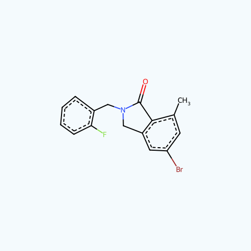 Cc1cc(Br)cc2c1C(=O)N(Cc1ccccc1F)C2